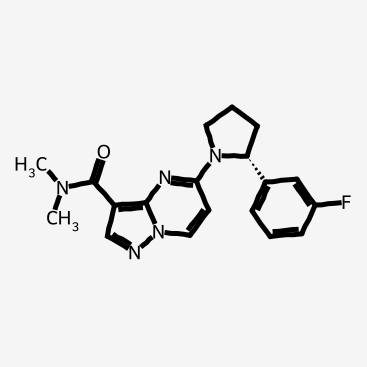 CN(C)C(=O)c1cnn2ccc(N3CCC[C@@H]3c3cccc(F)c3)nc12